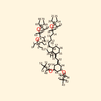 CC[Si](CC)(CC)O[C@H](CC[C@H](CCCC(C)(C)O[Si](CC)(CC)CC)[C@H]1CC[C@@H]2/C(=C/C=C3/C[C@@H](O[Si](C)(C)C(C)(C)C)C[C@@H](O[Si](C)(C)C(C)(C)C)C3)CCC[C@@]21C)C(C)(C)O[Si](CC)(CC)CC